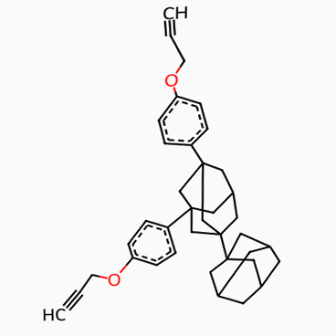 C#CCOc1ccc(C23CC4CC(c5ccc(OCC#C)cc5)(C2)CC(C25CC6CC(CC(C6)C2)C5)(C4)C3)cc1